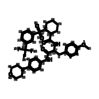 COc1ccc(C[C@H](NC(=O)[C@@H]2CCCCN2S(=O)(=O)c2cccc(C(F)(F)F)c2)C(=O)Nc2ccc(N3CCOCC3)cc2)cc1